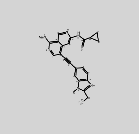 CNc1ncc(C#Cc2ccc3nc(CC(F)(F)F)n(C)c3c2)c2cc(NC(=O)C3CC3)ncc12